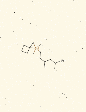 CC(CC[SH]1(C)(C)CC12CCC2)CC(C)C(C)C